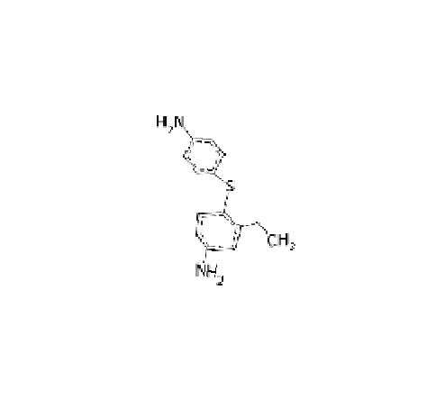 CCc1cc(N)ccc1Sc1ccc(N)cc1